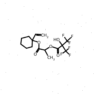 C=CC1(OC(=O)C(C)OC(=O)C(O)(C(F)(F)F)C(F)(F)F)CCCCC1